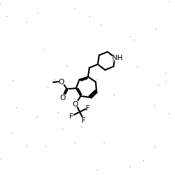 COC(=O)C1=C(OC(F)(F)F)C#CCC(CC2CCNCC2)=C1